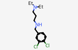 CCN(CC)CCCNCc1ccc(Cl)c(Cl)c1